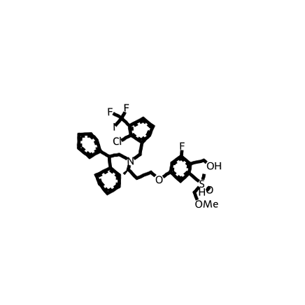 COC[SH](C)(=O)c1cc(OCC[C@@H](C)N(Cc2cccc(C(F)(F)I)c2Cl)CC(c2ccccc2)c2ccccc2)cc(F)c1CO